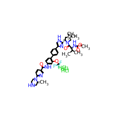 COC(=O)N[C@H](C(=O)N1C[Si](C)(C)C[C@H]1c1nc(-c2ccc(-c3ccc(NC(=O)c4ccc(N5CCNC[C@H]5C)nc4)cc3OC(F)(F)F)cc2)c[nH]1)C(C)C.Cl.Cl.Cl